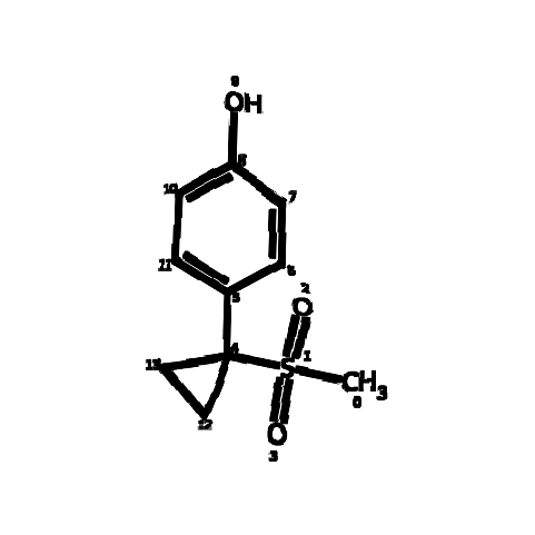 CS(=O)(=O)C1(c2ccc(O)cc2)CC1